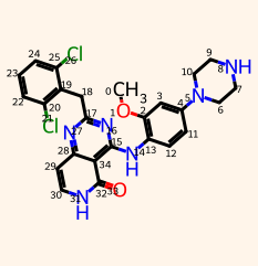 COc1cc(N2CCNCC2)ccc1Nc1nc(Cc2c(Cl)cccc2Cl)nc2cc[nH]c(=O)c12